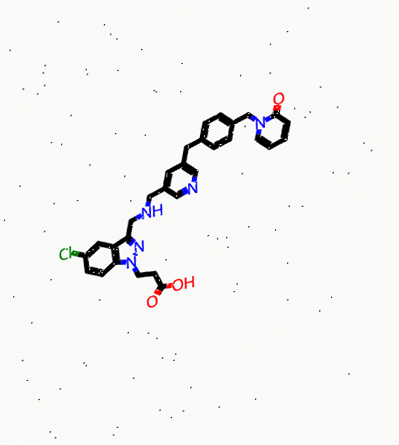 O=C(O)CCn1nc(CNCc2cncc(Cc3ccc(Cn4ccccc4=O)cc3)c2)c2cc(Cl)ccc21